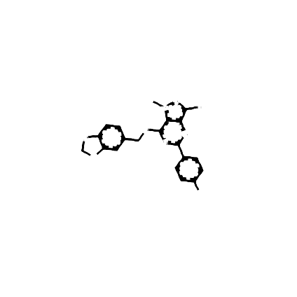 CCCc1nn(C)c2c(NCc3ccc4c(c3)OCO4)nc(-c3ccc(C(=O)O)cc3)nc12